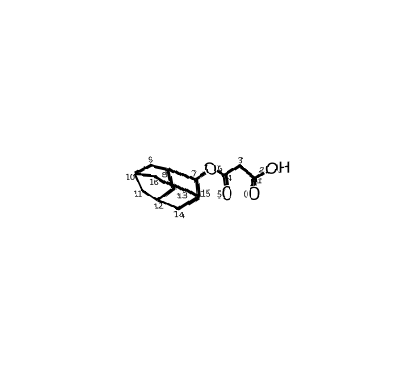 O=C(O)CC(=O)OC1C2CC3CC(C2)CC1C3